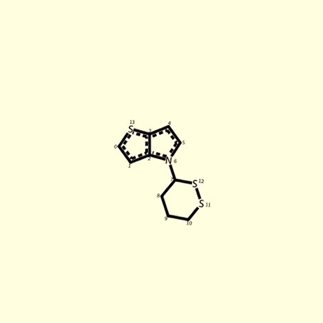 c1cc2c(ccn2C2CCCSS2)s1